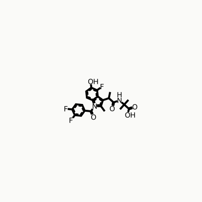 Cc1c(C(C)C(=O)NC(C)(C)C(=O)O)c2c(F)c(O)ccc2n1C(=O)c1ccc(F)c(F)c1